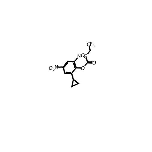 O=C(OCC(F)(F)F)Oc1c(C2CC2)cc([N+](=O)[O-])cc1[N+](=O)[O-]